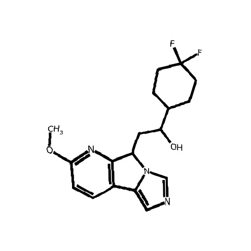 COc1ccc2c(n1)C(CC(O)C1CCC(F)(F)CC1)n1cncc1-2